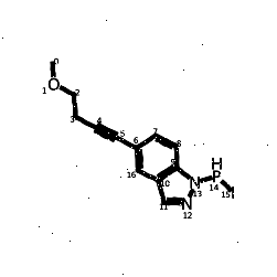 COCCC#Cc1ccc2c(cnn2PI)c1